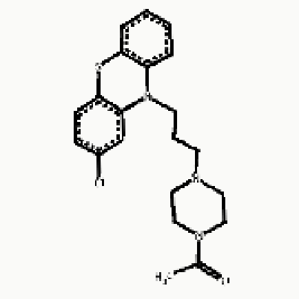 CC(=O)N1CCN(CCCN2c3ccccc3Sc3ccc(Cl)cc32)CC1